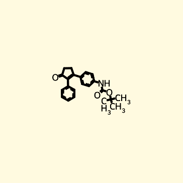 CC(C)(C)OC(=O)Nc1ccc(C2=C(c3ccccc3)C(=O)CC2)cc1